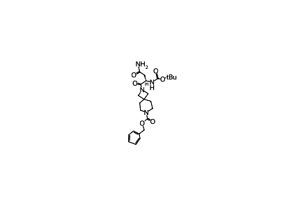 CC(C)(C)OC(=O)N[C@H](CC(N)=O)C(=O)N1CC2(CCN(C(=O)OCc3ccccc3)CC2)C1